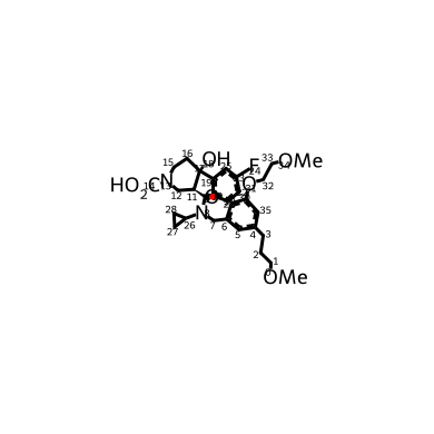 COCCCc1cc(CN(C(=O)[C@H]2CN(C(=O)O)CC[C@]2(O)c2cccc(F)c2)C2CC2)cc(OCCOC)c1